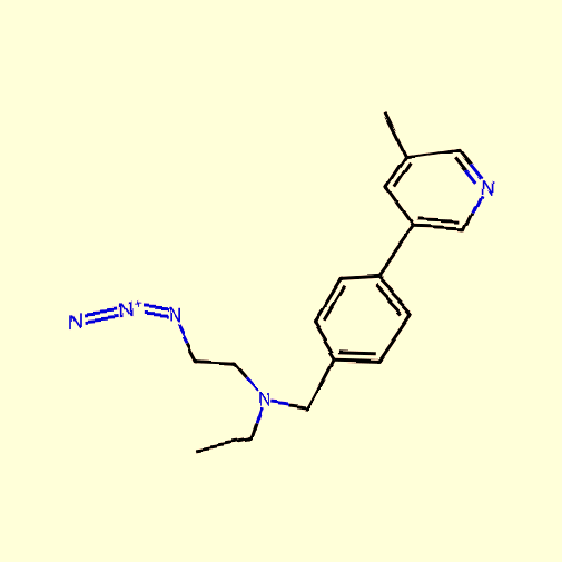 CCN(CCN=[N+]=[N-])Cc1ccc(-c2cncc(C)c2)cc1